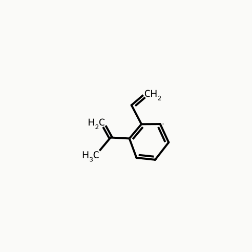 C=Cc1[c]cccc1C(=C)C